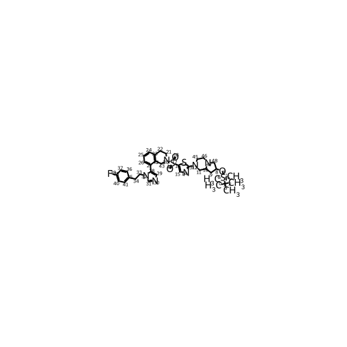 CC(C)(C)[Si](C)(C)OC1CC2CN(c3ncc(S(=O)(=O)N4CCc5cccc(-c6cncn6CCc6ccc(F)cc6)c5C4)s3)CCN2C1